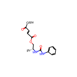 COC(=O)/C=C/C(=O)OC[C@H](NC(=O)Nc1ccccc1)C(C)C